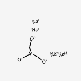 [Na+].[Na+].[Na+].[NaH].[O-]P([O-])[O-]